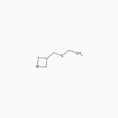 CCSCC1C[N]C1